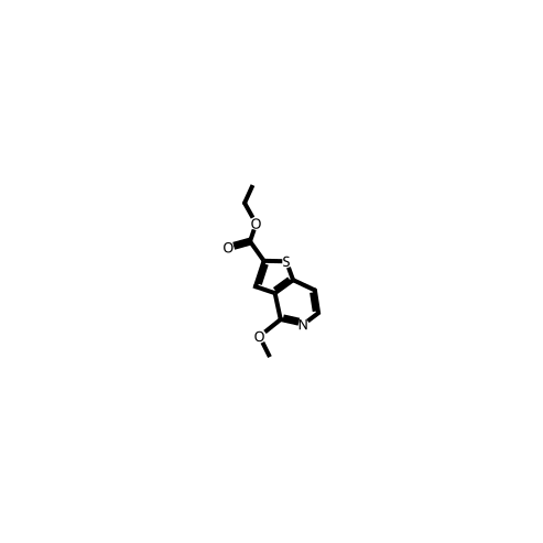 CCOC(=O)c1cc2c(OC)nccc2s1